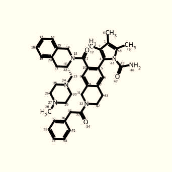 Cc1c(C)c(-c2cc3c(cc2C(=O)N2Cc4ccccc4C[C@H]2CN2CCN(C)CC2)CN(C(=O)Cc2ccccc2)CC3)n(C(N)=O)c1C